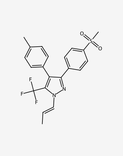 CC=Cn1nc(-c2ccc(S(C)(=O)=O)cc2)c(-c2ccc(C)cc2)c1C(F)(F)F